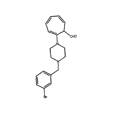 O=CC1C=CC=CC=C1N1CCN(Cc2cccc(Br)c2)CC1